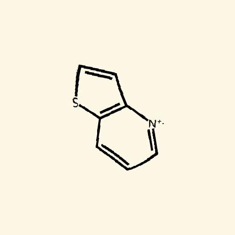 C1=Cc2sccc2[N+]=C1